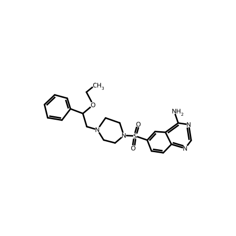 CCOC(CN1CCN(S(=O)(=O)c2ccc3ncnc(N)c3c2)CC1)c1ccccc1